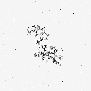 CCC(C)[C@@H](CCC(=O)N1CCC[C@H]1C[C@H](C)C(N)=O)N(C)C(=O)C(NC(=O)[C@H](C(C)C)N(C)C)C(C)C